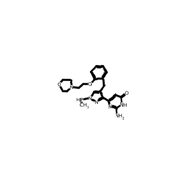 CPn1cc(Cc2ccccc2OCCN2CCOCC2)c(-c2cc(=O)[nH]c(N)n2)n1